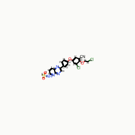 CS(=O)(=O)Nc1ccc2nc(-c3ccc(Oc4cc(Cl)c(OCCCl)c(C#N)c4)cc3)cnc2n1